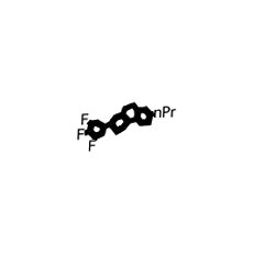 CCCc1ccc2c(c1)CCc1cc(-c3cc(F)c(F)c(F)c3)ccc1-2